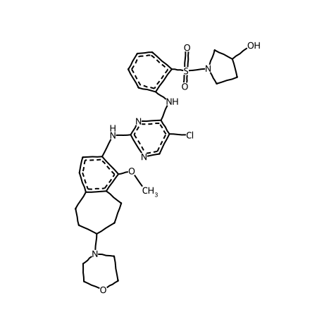 COc1c(Nc2ncc(Cl)c(Nc3ccccc3S(=O)(=O)N3CCC(O)C3)n2)ccc2c1CCC(N1CCOCC1)CC2